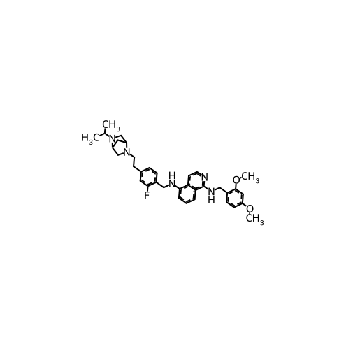 COc1ccc(CNc2nccc3c(NCc4ccc(CCN5CC6CC5CN6C(C)C)cc4F)cccc23)c(OC)c1